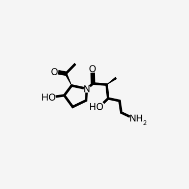 CC(=O)[C@@H]1C(O)CCN1C(=O)[C@@H](C)C(O)CCN